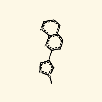 Cn1cc(-c2ccc3[c]ccnc3n2)cn1